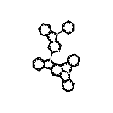 c1ccc(-n2c3ccccc3c3cc(-n4c5ccccc5c5cc6c7ccccc7n7c8ccccc8c(c54)c67)ncc32)cc1